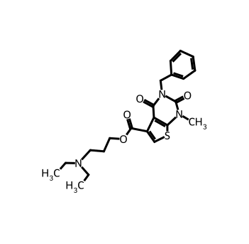 CCN(CC)CCCOC(=O)c1csc2c1c(=O)n(Cc1ccccc1)c(=O)n2C